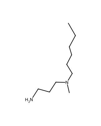 CCCCCCN(C)CCCN